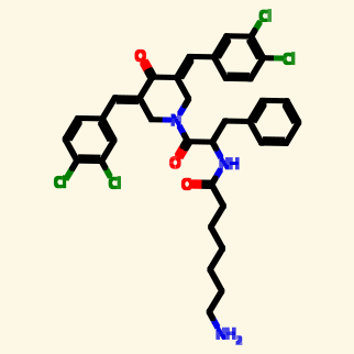 NCCCCCCC(=O)NC(Cc1ccccc1)C(=O)N1C/C(=C\c2ccc(Cl)c(Cl)c2)C(=O)/C(=C/c2ccc(Cl)c(Cl)c2)C1